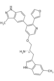 Cc1ccc2[nH]cc(C[C@H](N)COc3cnc(-c4ccoc4)c(-c4ccc5[nH]nc(C)c5c4)c3)c2c1